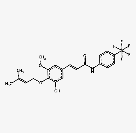 COc1cc(/C=C/C(=O)Nc2ccc(S(F)(F)(F)(F)F)cc2)cc(O)c1OCC=C(C)C